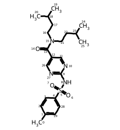 Cc1ccc(S(=O)(=O)Nc2ncc(C(=O)N(CCC(C)C)CCC(C)C)cn2)cc1